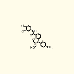 Cc1ccc(N2c3cccc(C(=O)Nc4ccc(Cl)c(Cl)c4)c3OC[C@@H]2CO)nc1